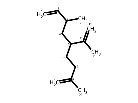 C=CC(C)CC(CCC(=C)C)C(=C)C